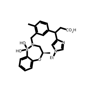 CCn1cnc(C(CC(=O)O)c2ccc(C)c(CN3C[C@@H](C)Oc4ccccc4S3(O)O)c2)c1